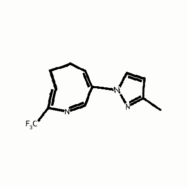 Cc1ccn(C2=C/CC/C=C(C(F)(F)F)/N=C\2)n1